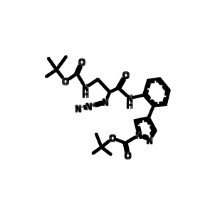 CC(C)(C)OC(=O)NCC(N=[N+]=[N-])C(=O)Nc1ccccc1-c1cnn(C(=O)OC(C)(C)C)c1